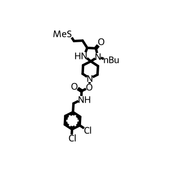 CCCCN1C(=O)C(CCSC)NC12CCN(OC(=O)NCc1ccc(Cl)c(Cl)c1)CC2